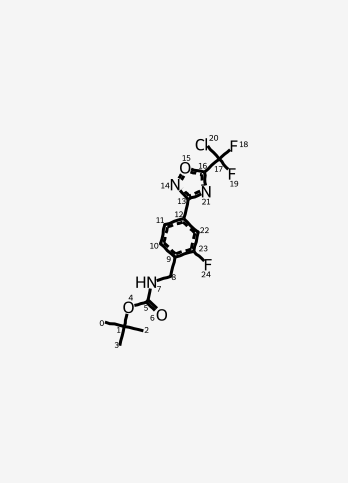 CC(C)(C)OC(=O)NCc1ccc(-c2noc(C(F)(F)Cl)n2)cc1F